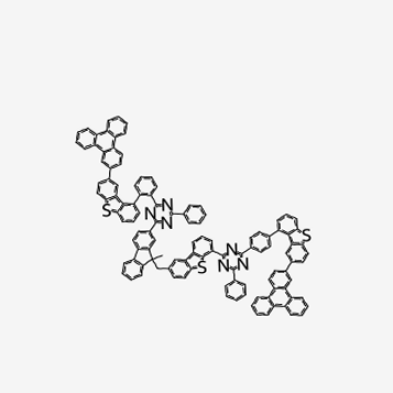 CC1(Cc2ccc3sc4c(-c5nc(-c6ccccc6)nc(-c6ccc(-c7cccc8sc9ccc(-c%10ccc%11c%12ccccc%12c%12ccccc%12c%11c%10)cc9c78)cc6)n5)cccc4c3c2)c2ccccc2-c2ccc(-c3nc(-c4ccccc4)nc(-c4ccccc4-c4cccc5sc6ccc(-c7ccc8c9ccccc9c9ccccc9c8c7)cc6c45)n3)cc21